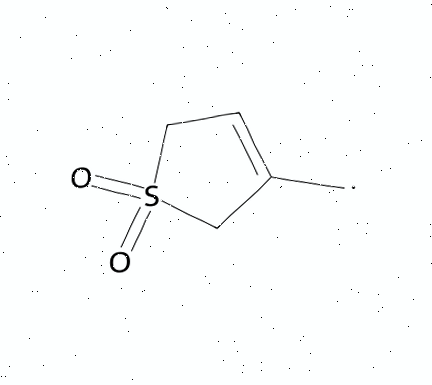 [CH2]C1=CCS(=O)(=O)C1